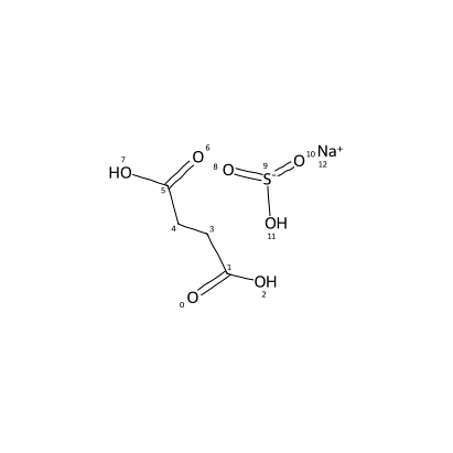 O=C(O)CCC(=O)O.O=[S-](=O)O.[Na+]